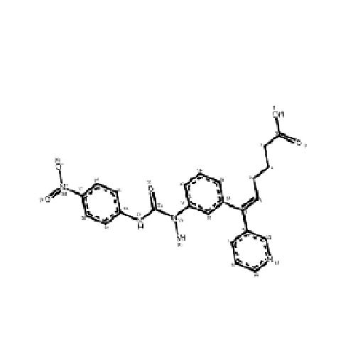 O=C(O)CCCC=C(c1cccnc1)c1cccc(N(S)C(=O)Nc2ccc([N+](=O)[O-])cc2)c1